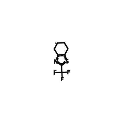 FC(F)(F)c1nc2c(s1)CC[CH]C2